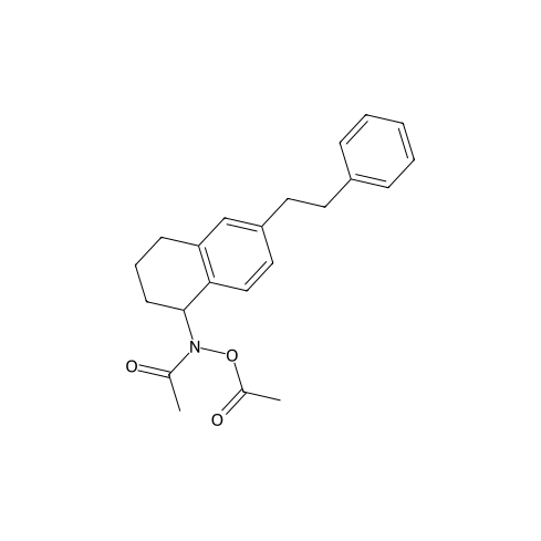 CC(=O)ON(C(C)=O)C1CCCc2cc(CCc3ccccc3)ccc21